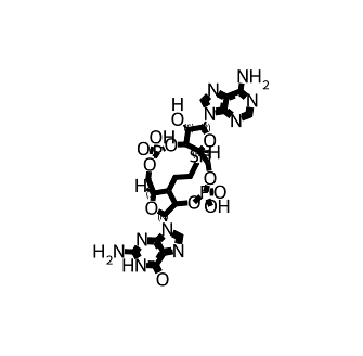 Nc1nc2c(ncn2[C@@H]2O[C@@H]3COP(=O)(O)OC4[C@@H](COP(=O)(O)OC2C3CCCS)O[C@@H](n2cnc3c(N)ncnc32)[C@H]4O)c(=O)[nH]1